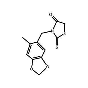 Cc1cc2c(cc1CN1C(=O)CSC1=S)OCO2